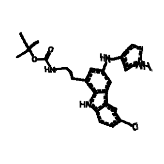 CC(C)(C)OC(=O)NCCc1cc(Nc2cn[nH]c2)cc2c1[nH]c1ccc(Cl)cc12